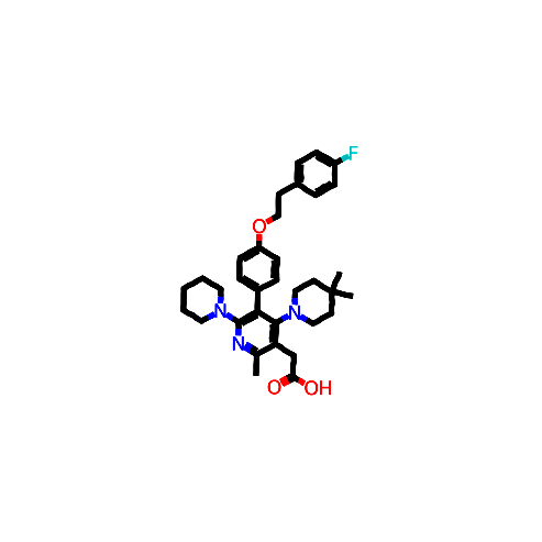 Cc1nc(N2CCCCC2)c(-c2ccc(OCCc3ccc(F)cc3)cc2)c(N2CCC(C)(C)CC2)c1CC(=O)O